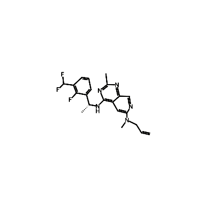 C=CCN(C)c1cc2c(N[C@H](C)c3cccc(C(F)F)c3F)nc(C)nc2cn1